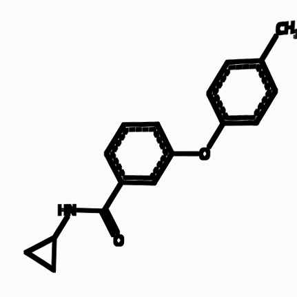 Cc1ccc(Oc2cccc(C(=O)NC3CC3)c2)cc1